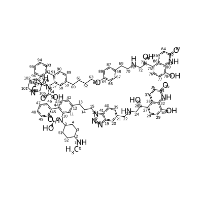 CNC1CCC(N(C(=O)O)c2cc(CCCn3nnc4cc(CNC[C@H](O)c5ccc(O)c6[nH]c(=O)ccc56)ccc43)ccc2-c2ccccc2)CC1.O=C(O)N(c1cc(CCCCOc2ccc(CCNC[C@H](O)c3ccc(O)c4[nH]c(=O)ccc34)cc2)ccc1-c1ccccc1)[C@H]1CN2CCC1CC2